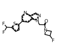 O=C(Cn1ncc2ncc(-c3ccc(C(F)F)s3)cc21)N1CC(F)C1